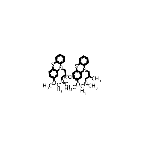 COc1ccc2c(c1)N(CC(C)CN(C)C)c1ccccc1S2.COc1ccc2c(c1)N(C[C@H](C)CN(C)C)c1ccccc1S2